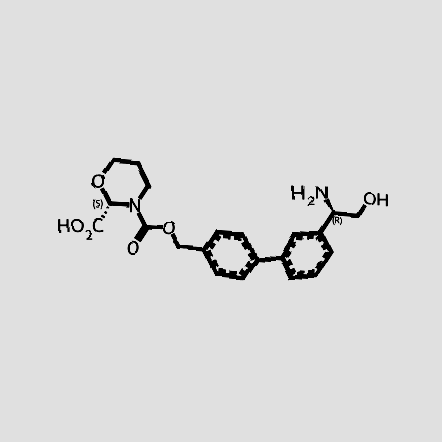 N[C@@H](CO)c1cccc(-c2ccc(COC(=O)N3CCCO[C@H]3C(=O)O)cc2)c1